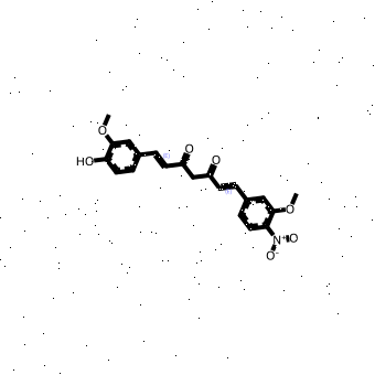 COc1cc(/C=C/C(=O)CC(=O)/C=C/c2ccc([N+](=O)[O-])c(OC)c2)ccc1O